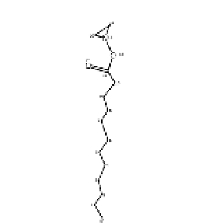 CCCCCCCCCCCC(=O)ON1CC1